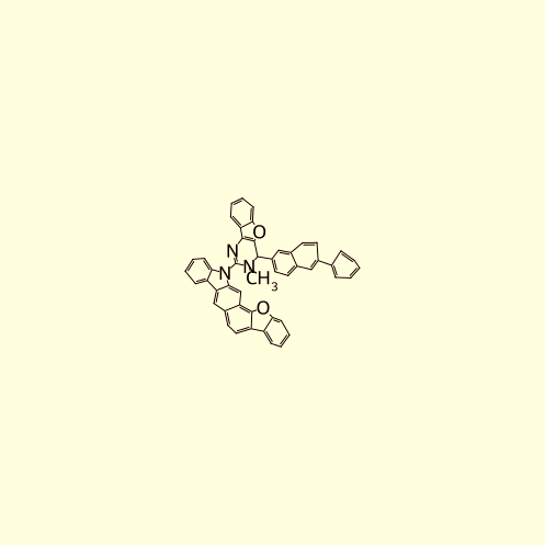 CN1C(n2c3ccccc3c3cc4ccc5c6ccccc6oc5c4cc32)=Nc2c(oc3ccccc23)C1c1ccc2cc(-c3ccccc3)ccc2c1